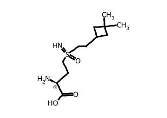 CC1(C)CC(CCS(=N)(=O)CC[C@H](N)C(=O)O)C1